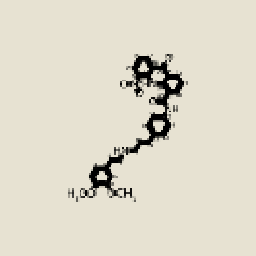 COc1ccc(CCNCCCc2ccc(NC(=O)c3cccc4c(=O)c5cccc([N+](=O)[O-])c5[nH]c34)cc2)cc1OC